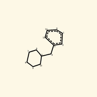 c1ccc(C[C]2CCCCC2)cc1